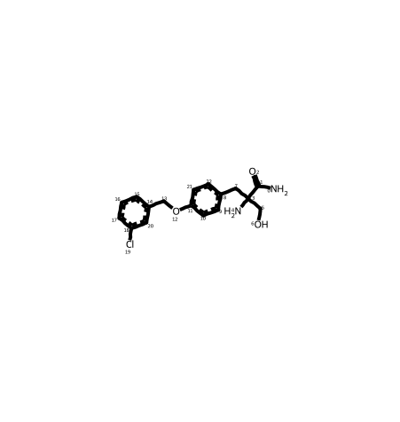 NC(=O)C(N)(CO)Cc1ccc(OCc2cccc(Cl)c2)cc1